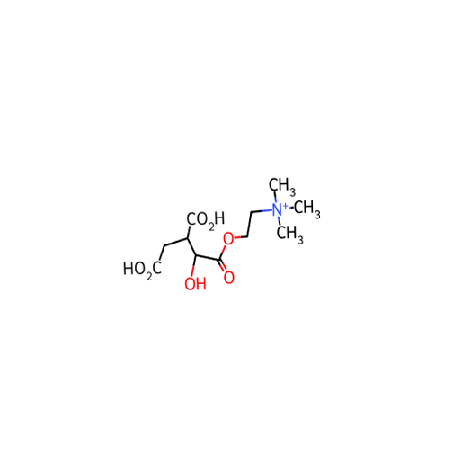 C[N+](C)(C)CCOC(=O)C(O)C(CC(=O)O)C(=O)O